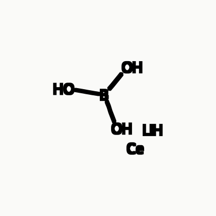 OB(O)O.[Ce].[LiH]